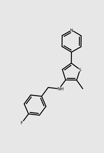 Cc1sc(-c2ccncc2)cc1NCc1ccc(F)cc1